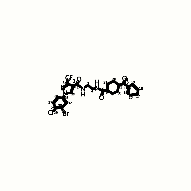 O=C(NCCNC(=O)C1CCC(C(=O)c2ccccc2)CC1)c1cn(-c2ccc(Cl)c(Br)c2)nc1C(F)(F)F